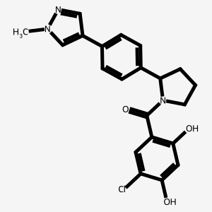 Cn1cc(-c2ccc(C3CCCN3C(=O)c3cc(Cl)c(O)cc3O)cc2)cn1